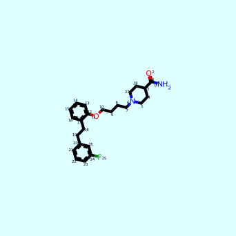 NC(=O)C1CCN(CCCCOc2ccccc2CCc2cccc(F)c2)CC1